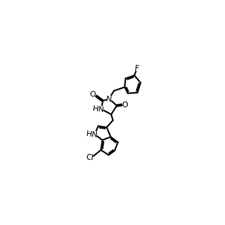 O=C1NC(Cc2c[nH]c3c(Cl)cccc23)C(=O)N1Cc1cccc(F)c1